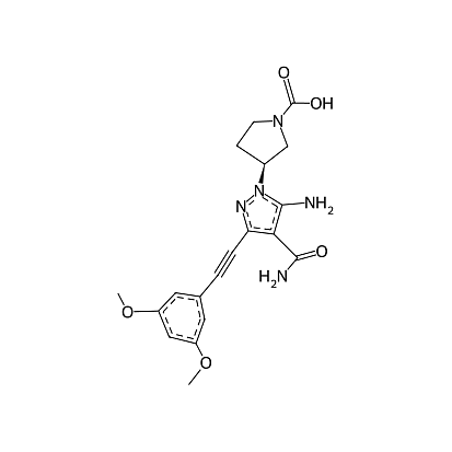 COc1cc(C#Cc2nn([C@H]3CCN(C(=O)O)C3)c(N)c2C(N)=O)cc(OC)c1